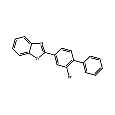 Brc1cc(-c2nc3ccccc3o2)ccc1-c1ccccc1